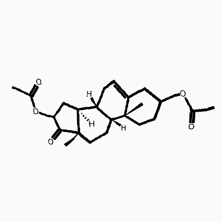 CC(=O)OC1CC[C@@]2(C)C(=CC[C@@H]3[C@H]2CC[C@]2(C)C(=O)C(OC(C)=O)C[C@@H]32)C1